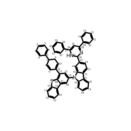 C1=CC(c2ccccc2)CC=C1c1cc(-n2c3ccccc3c3ccc(C4N=C(c5ccccc5)C=C(c5ccccc5)N4)cc32)cc2c1sc1ccccc12